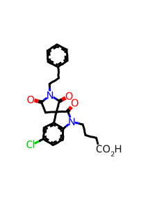 O=C(O)CCCN1C(=O)C2(CC(=O)N(CCc3ccccc3)C2=O)c2cc(Cl)ccc21